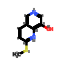 CSc1ccc2cncc(O)c2n1